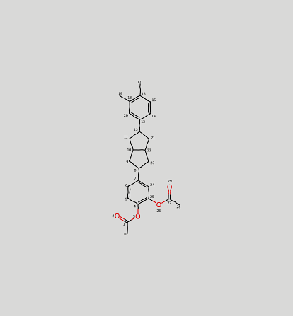 CC(=O)Oc1ccc(C2CC3CC(c4ccc(C)c(C)c4)CC3C2)cc1OC(C)=O